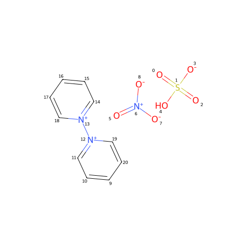 O=S(=O)([O-])O.O=[N+]([O-])[O-].c1cc[n+](-[n+]2ccccc2)cc1